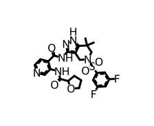 CC1(C)CN(S(=O)(=O)c2cc(F)cc(F)c2)Cc2c(NC(=O)c3ccncc3NC(=O)C3CCCO3)n[nH]c21